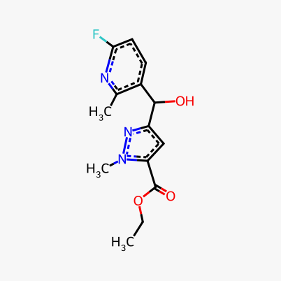 CCOC(=O)c1cc(C(O)c2ccc(F)nc2C)nn1C